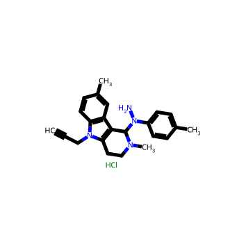 C#CCn1c2c(c3cc(C)ccc31)C(N(N)c1ccc(C)cc1)N(C)CC2.Cl